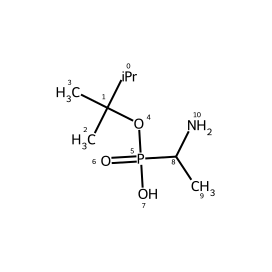 CC(C)C(C)(C)OP(=O)(O)C(C)N